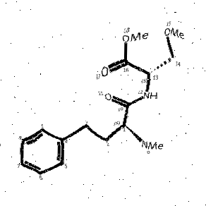 CN[C@@H](CCc1ccccc1)C(=O)N[C@@H](COC)C(=O)OC